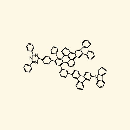 c1ccc(-c2nc(-c3ccccc3)nc(-c3ccc(-c4cc(-c5cccc(-c6ccc7c8ccc(-n9c%10ccccc%10c%10ccccc%109)cc8c8ccccc8c7c6)c5)c5c6cccc7c8cc(-c9ccccc9)c(-c9ccccc9)cc8c8cccc(c5c4-c4ccccc4)c8c76)cc3)n2)cc1